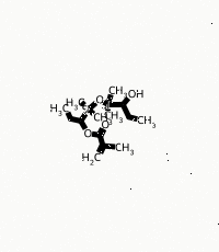 C=C(C)C(=O)OC(CC)[Si](C)(C)O[Si](C)(C)C(O)CC